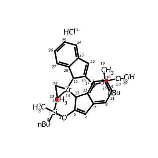 CCCC[Si](C)(C)OC1=Cc2ccccc2[CH]1[Zr]1([CH]2C(O[Si](C)(C)CCCC)=Cc3ccccc32)[CH2][CH2]1.Cl.Cl